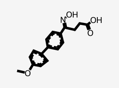 COc1ccc(-c2ccc(C(CCC(=O)O)=NO)cc2)cc1